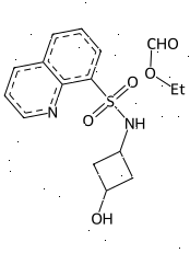 CCOC=O.O=S(=O)(NC1CC(O)C1)c1cccc2cccnc12